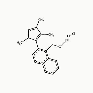 CC1=CC(C)C(c2ccc3ccccc3c2C[O][Ti+2])=C1C.[Cl-].[Cl-]